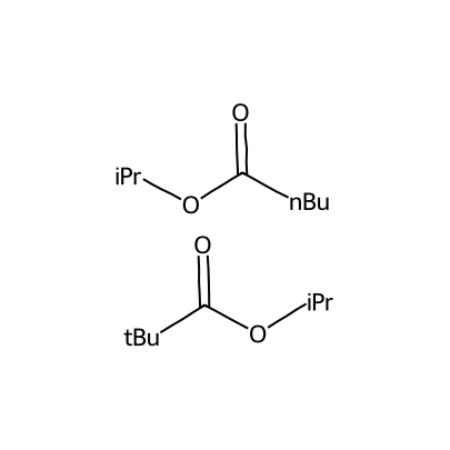 CC(C)OC(=O)C(C)(C)C.CCCCC(=O)OC(C)C